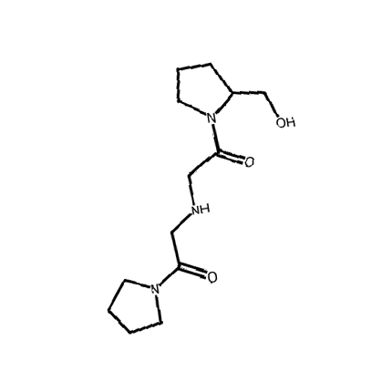 O=C(CNCC(=O)N1CCCC1CO)N1CCCC1